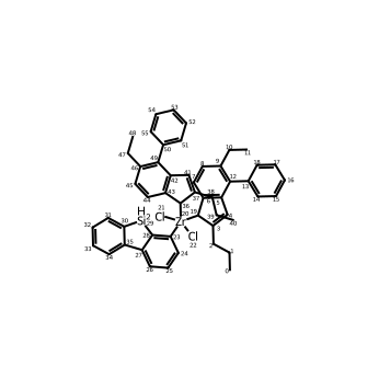 CCCC1=Cc2c(ccc(CC)c2-c2ccccc2)[CH]1[Zr]([Cl])([Cl])([c]1cccc2c1[SiH2]c1ccccc1-2)[CH]1C(CCC)=Cc2c1ccc(CC)c2-c1ccccc1